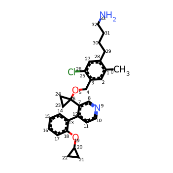 Cc1cc(COC2(c3cnccc3-c3ccccc3OC3CC3)CC2)c(Cl)cc1CCCCN